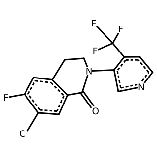 O=C1c2cc(Cl)c(F)cc2CCN1c1cnccc1C(F)(F)F